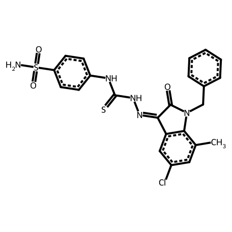 Cc1cc(Cl)cc2c1N(Cc1ccccc1)C(=O)C2=NNC(=S)Nc1ccc(S(N)(=O)=O)cc1